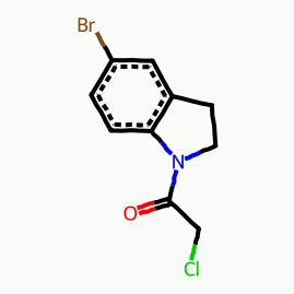 O=C(CCl)N1CCc2cc(Br)ccc21